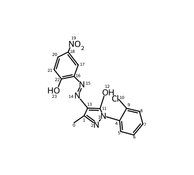 Cc1nn(-c2ccccc2Cl)c(O)c1N=Nc1cc([N+](=O)[O-])ccc1O